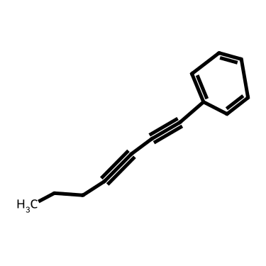 CCCC#CC#Cc1ccccc1